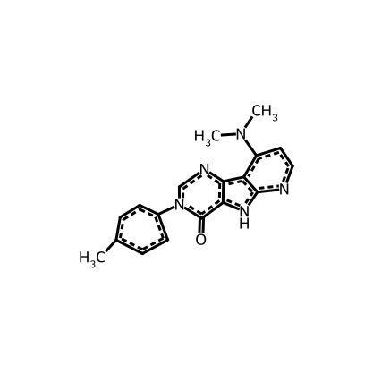 Cc1ccc(-n2cnc3c([nH]c4nccc(N(C)C)c43)c2=O)cc1